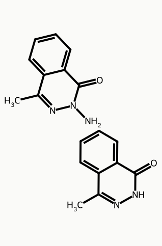 Cc1n[nH]c(=O)c2ccccc12.Cc1nn(N)c(=O)c2ccccc12